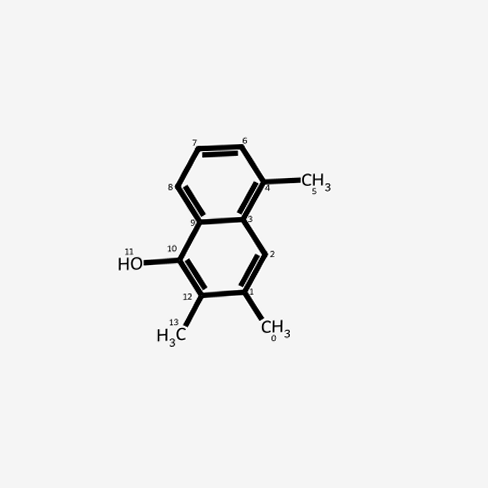 Cc1cc2c(C)cccc2c(O)c1C